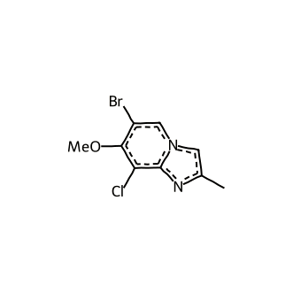 COc1c(Br)cn2cc(C)nc2c1Cl